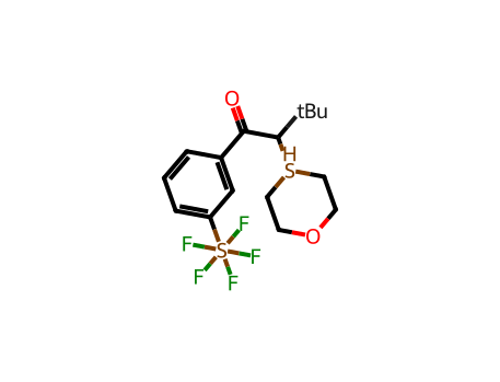 CC(C)(C)C(C(=O)c1cccc(S(F)(F)(F)(F)F)c1)[SH]1CCOCC1